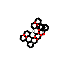 c1ccc(-c2cccc3cccc(-c4ccccc4N(c4ccccc4-c4cccc5cccc(-c6ccccc6)c45)c4cccc5sc6ccccc6c45)c23)cc1